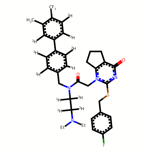 [2H]c1c([2H])c(-c2c([2H])c([2H])c(C(F)(F)F)c(C)c2[2H])c([2H])c([2H])c1CN(C(=O)Cn1c(SCc2ccc(F)cc2)nc(=O)c2c1CCC2)C([2H])([2H])C([2H])([2H])N(CC)CC